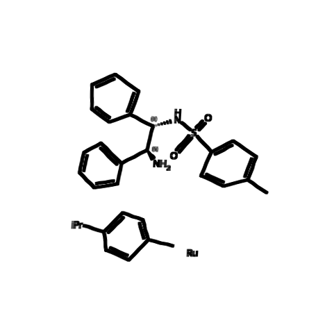 Cc1ccc(C(C)C)cc1.Cc1ccc(S(=O)(=O)N[C@@H](c2ccccc2)[C@@H](N)c2ccccc2)cc1.[Ru]